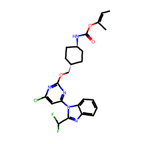 C/C=C(\C)OC(=O)N[C@H]1CC[C@H](COc2nc(Cl)cc(-n3c(C(F)F)nc4ccccc43)n2)CC1